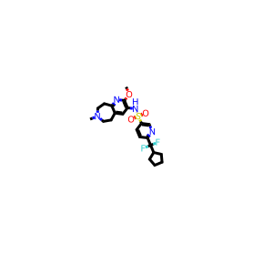 COc1nc2c(cc1NS(=O)(=O)c1ccc(C(F)(F)C3CCCC3)nc1)CCN(C)CC2